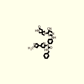 Cn1cc(-c2ccc(N(C(=O)NCc3ccccc3)c3ccc(Nc4ncc(C#N)c(N5CCC6(CNC(=O)C6)C5)n4)cc3)nc2)cn1